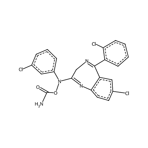 NC(=O)ON(C1=Nc2ccc(Cl)cc2C(c2ccccc2Cl)=NC1)c1cccc(Cl)c1